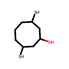 OC1CC(S)CCCC(S)C1